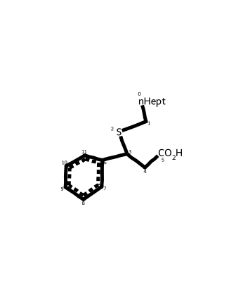 CCCCCCCCSC(CC(=O)O)c1ccccc1